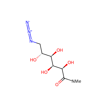 CNC(=O)[C@H](O)[C@@H](O)[C@H](O)[C@H](O)CN=[N+]=[N-]